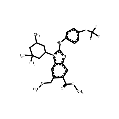 COCc1cc2c(cc1C(=O)OC)nc(Nc1ccc(OC(F)(F)F)cc1)n2C1CC(C)CC(C)(C)C1